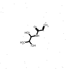 C=CC(=O)NC(O)C(C)O